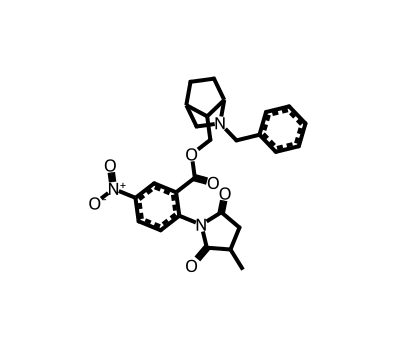 CC1CC(=O)N(c2ccc([N+](=O)[O-])cc2C(=O)OCC2C3CCC2N(Cc2ccccc2)C3)C1=O